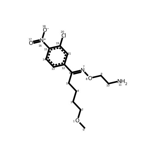 COCCCCC(=NOCCN)c1ccc([N+](=O)[O-])c(Cl)c1